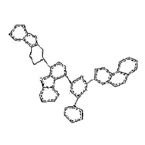 C1=C(c2ccc(-c3nc(-c4ccccc4)nc(-c4ccc5c(ccc6ccccc65)c4)n3)c3c2oc2ccccc23)CCc2c1oc1ccccc21